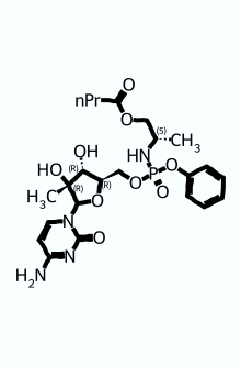 CCCC(=O)OC[C@H](C)NP(=O)(OC[C@H]1OC(n2ccc(N)nc2=O)[C@](C)(O)[C@@H]1O)Oc1ccccc1